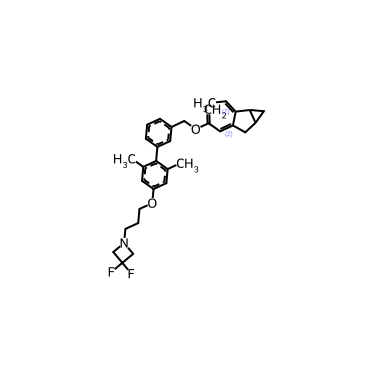 C=C(/C=C1/CC2CC2/C1=C/C)OCc1cccc(-c2c(C)cc(OCCCN3CC(F)(F)C3)cc2C)c1